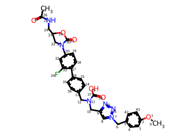 COc1ccc(Cn2cc(CN(Cc3ccc(-c4ccc(N5CC(CNC(C)=O)OC5=O)cc4F)cc3)C(=O)O)nn2)cc1